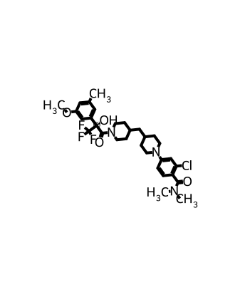 COc1cc(C)cc([C@@](O)(C(=O)N2CCC(CC3CCN(c4ccc(C(=O)N(C)C)c(Cl)c4)CC3)CC2)C(F)(F)F)c1